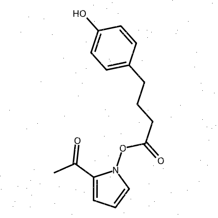 CC(=O)c1cccn1OC(=O)CCCc1ccc(O)cc1